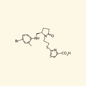 Cc1cc(Br)ccc1NC[C@H]1CCC(=O)N1CCSc1nc(C(=O)O)cs1